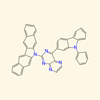 c1ccc(-n2c3ccccc3c3ccc(-c4nc(-n5c6cc7ccccc7cc6c6cc7ccccc7cc65)nc5nccnc45)cc32)cc1